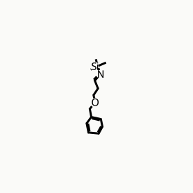 C[Si](C)(C)N=CCCOCc1ccccc1